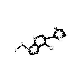 FSn1ccc2c(Cl)c(-c3ncco3)cnc21